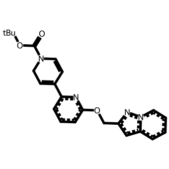 CC(C)(C)OC(=O)N1C=CC(c2cccc(OCc3cc4ccccn4n3)n2)=CC1